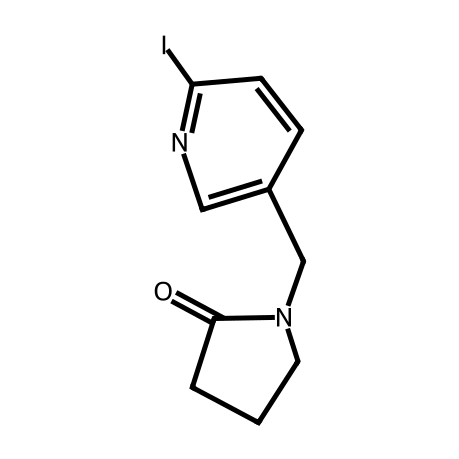 O=C1CCCN1Cc1ccc(I)nc1